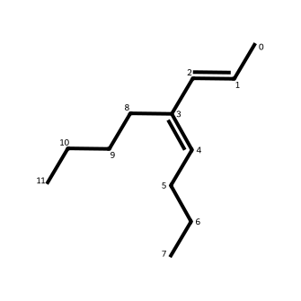 CC=CC(=CCCC)CCCC